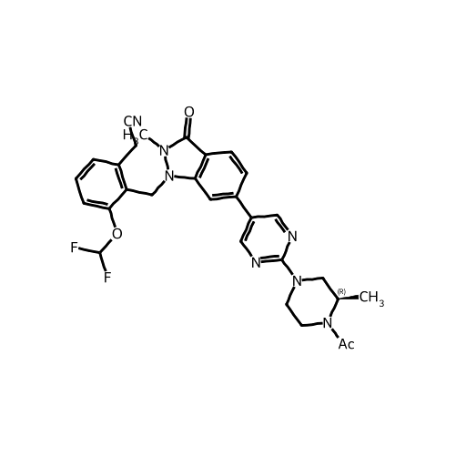 CC(=O)N1CCN(c2ncc(-c3ccc4c(=O)n(C)n(Cc5c(CC#N)cccc5OC(F)F)c4c3)cn2)C[C@H]1C